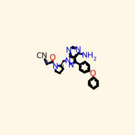 N#C/C=C\C(=O)N1CCC[C@@H]1Cn1nc(-c2ccc(Oc3ccccc3)cc2)c2c(N)ncnc21